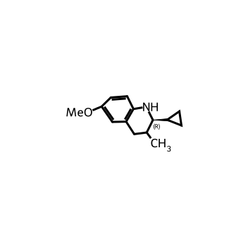 COc1ccc2c(c1)CC(C)[C@H](C1CC1)N2